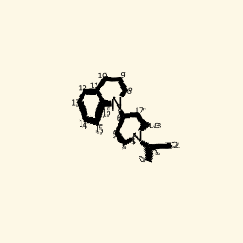 CC(C)N1CCC(N2CCCc3ccccc32)CC1